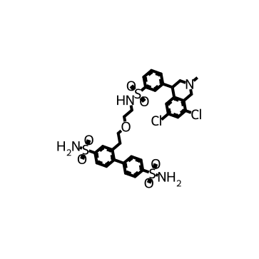 CN1Cc2c(Cl)cc(Cl)cc2C(c2cccc(S(=O)(=O)NCCOCCc3cc(S(N)(=O)=O)ccc3-c3ccc(S(N)(=O)=O)cc3)c2)C1